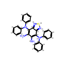 Nc1c(N)c(N(c2ccccc2)c2ccccc2)c2nsnc2c1N(c1ccccc1)c1ccccc1